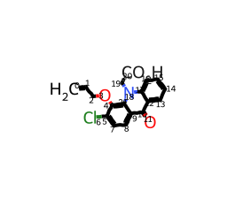 C=CCOc1c(Cl)ccc2c(=O)c3ccccc3n(CC(=O)O)c12